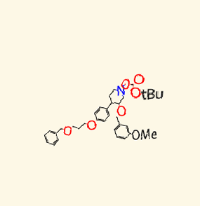 COc1cccc(COC2CN(OC(=O)OC(C)(C)C)CCC2c2ccc(OCCCOCc3ccccc3)cc2)c1